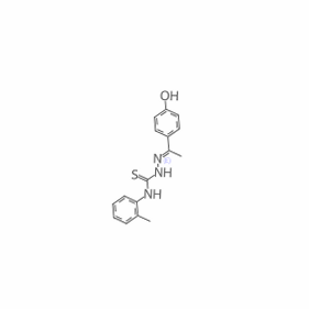 C/C(=N\NC(=S)Nc1ccccc1C)c1ccc(O)cc1